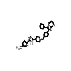 Cc1ccc(-c2nnc(C3CCN(Cc4ccc(-c5nc6ncccn6c5-c5ccccc5)cc4)CC3)[nH]2)nc1